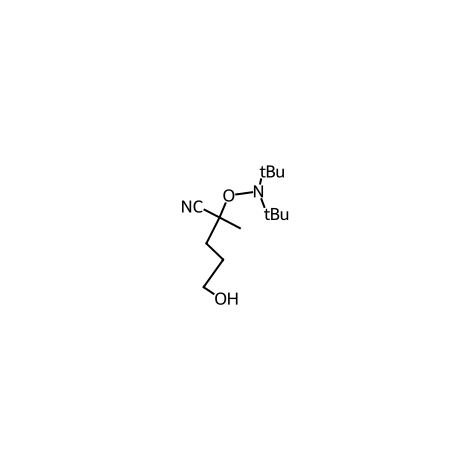 CC(C#N)(CCCO)ON(C(C)(C)C)C(C)(C)C